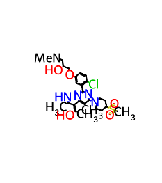 CNC[C@@H](O)COc1ccc(Cl)c(-c2nc(/C(C(C)=N)=C(\C)O)c(C)c(N3CCC(S(C)(=O)=O)CC3)n2)c1